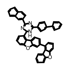 c1ccc(-c2ccc(C3=NC(c4ccc5ccccc5c4)=NC(c4cccc5oc6cc(-c7cccc8oc9ccccc9c78)ccc6c45)N3)cc2)cc1